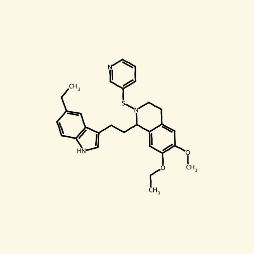 CCOc1cc2c(cc1OC)CCN(Sc1cccnc1)C2CCc1c[nH]c2ccc(CC)cc12